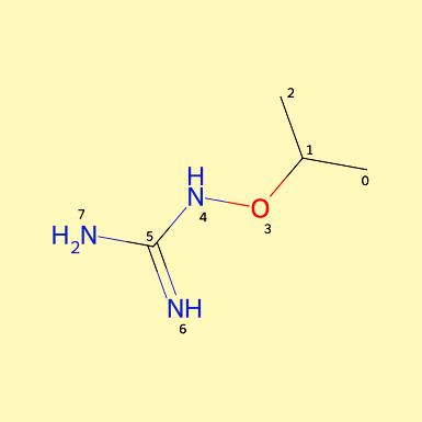 CC(C)ONC(=N)N